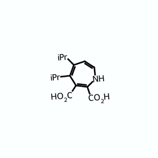 CC(C)C1=C(C(C)C)C(C(=O)O)=C(C(=O)O)NC=C1